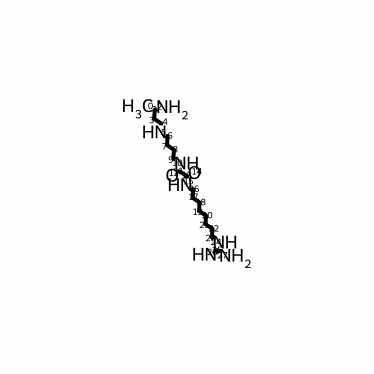 CC(N)CCNCCCCNC(=O)C(=O)NCCCCCCCCNC(=N)N